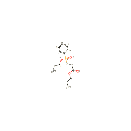 CC(C)CCOC(=O)CCP(=O)(OCCC(C)C)c1ccccc1